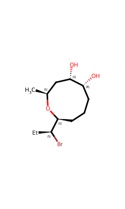 CC[C@H](Br)[C@@H]1CCC[C@@H](O)[C@@H](O)C[C@H](C)O1